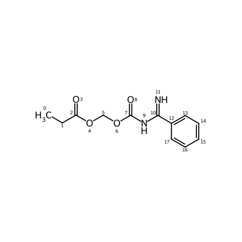 CCC(=O)OCOC(=O)NC(=N)c1cc[c]cc1